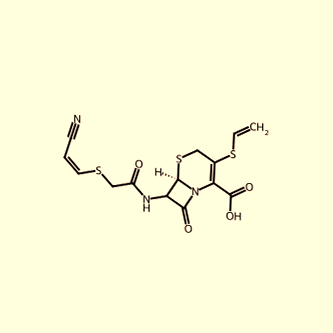 C=CSC1=C(C(=O)O)N2C(=O)C(NC(=O)CS/C=C\C#N)[C@H]2SC1